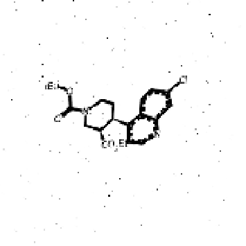 CCOC(=O)[C@H]1CN(C(=O)OC(C)(C)C)CC[C@H]1c1ccnc2cc(Cl)ccc12